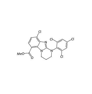 COC(=O)c1ccc(Cl)c2nc3n(c12)CCCN3c1c(Cl)cc(Cl)cc1Cl